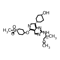 COC[C@H](C)Nc1ncc2c(OC3CCN(S(C)(=O)=O)CC3)ncc([C@H]3CC[C@H](O)CC3)c2n1